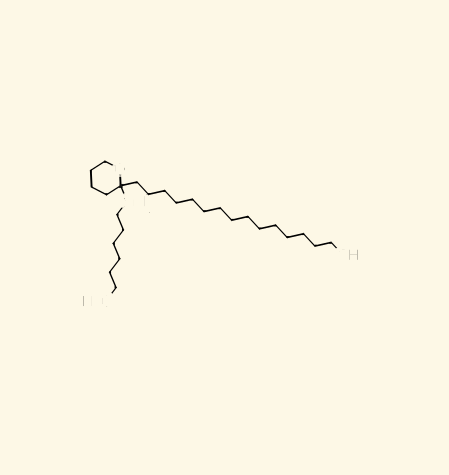 CCCCCCCCCCCCCCCCC1([SiH2]CCCCCCC)CCCCO1